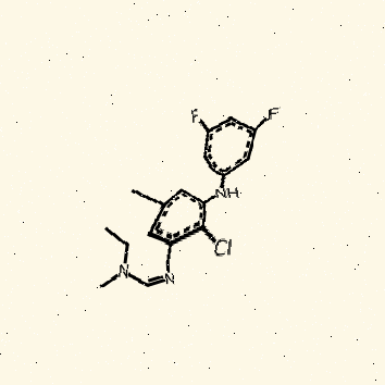 CCN(C)/C=N\c1cc(C)cc(Nc2cc(F)cc(F)c2)c1Cl